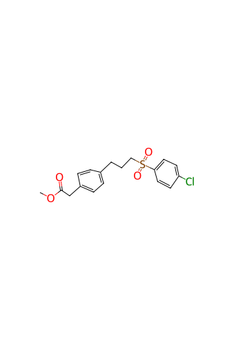 COC(=O)Cc1ccc(CCCS(=O)(=O)c2ccc(Cl)cc2)cc1